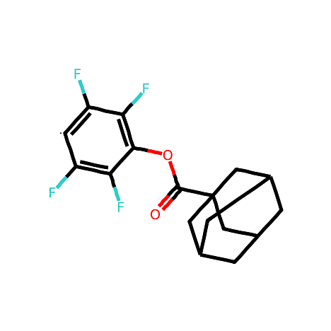 O=C(Oc1c(F)c(F)[c]c(F)c1F)C12CC3CC(CC(C3)C1)C2